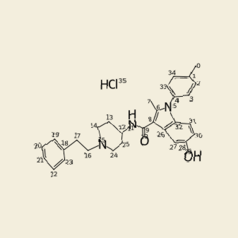 Cc1ccc(-n2c(C)c(C(=O)NC3CCN(CCc4ccccc4)CC3)c3cc(O)ccc32)cc1.Cl